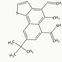 C=Cc1c(C)c2c(C(=C)S)cc(C(C)(C)C)cc2c2sccc12